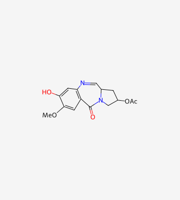 COc1cc2c(cc1O)N=CC1CC(OC(C)=O)CN1C2=O